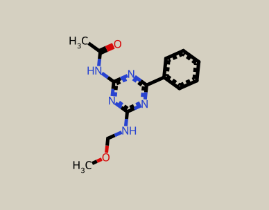 COCNc1nc(NC(C)=O)nc(-c2ccccc2)n1